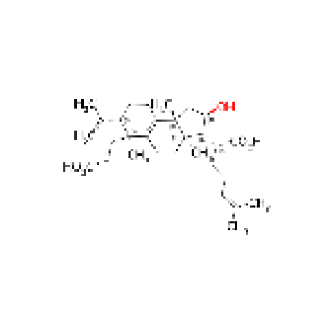 C=C(C)[C@@H]1CCC2=C(CC[C@]3(C)[C@@H]([C@@H](CCC=C(C)C)C(=O)O)[C@H](O)C[C@@]23C)[C@@]1(C)CCC(=O)O